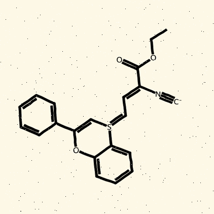 [C-]#[N+]C(=CC=S1C=C(c2ccccc2)Oc2ccccc21)C(=O)OCC